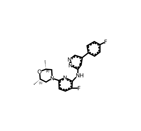 C[C@@H]1CN(c2ccc(F)c(Nc3cc(-c4ccc(F)cc4)cnn3)n2)C[C@H](C)O1